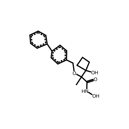 CC(OCc1ccc(-c2ccccc2)cc1)(C(=O)NO)C1(O)CCC1